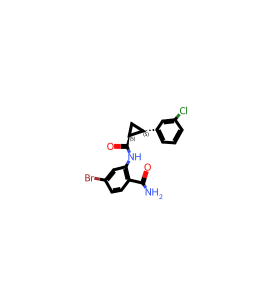 NC(=O)c1ccc(Br)cc1NC(=O)[C@H]1C[C@@H]1c1cccc(Cl)c1